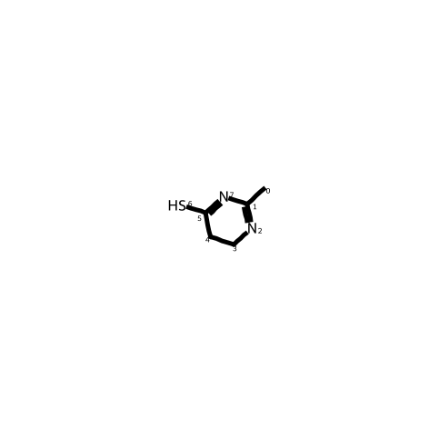 CC1=NCCC(S)=N1